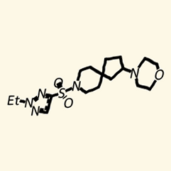 CCn1ncc(S(=O)(=O)N2CCC3(CCC(N4CCOCC4)C3)CC2)n1